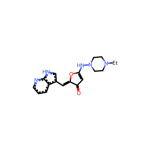 CCN1CCN(NC2=CC(=O)/C(=C/c3c[nH]c4ncccc34)O2)CC1